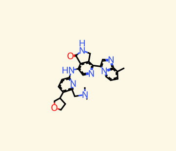 Cc1cccn2c(-c3ncc(Nc4ccc(C5CCOC5)c(CN(C)C)n4)c4c3CNC4=O)cnc12